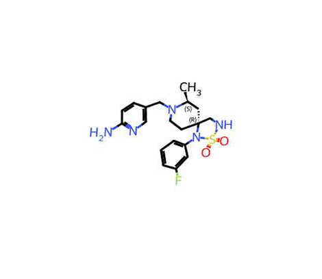 C[C@H]1C[C@]2(CCN1Cc1ccc(N)nc1)CNS(=O)(=O)N2c1cccc(F)c1